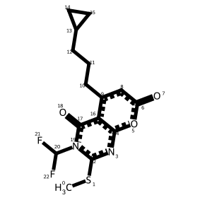 CSc1nc2oc(=O)cc(CCCC3CC3)c2c(=O)n1C(F)F